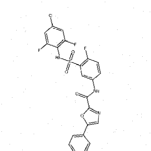 O=C(Nc1ccc(F)c(S(=O)(=O)Nc2c(F)cc(Cl)cc2F)c1)c1ncc(-c2ccccc2)o1